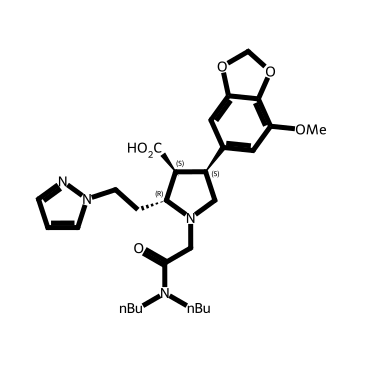 CCCCN(CCCC)C(=O)CN1C[C@H](c2cc(OC)c3c(c2)OCO3)[C@H](C(=O)O)[C@H]1CCn1cccn1